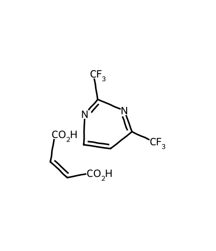 FC(F)(F)c1ccnc(C(F)(F)F)n1.O=C(O)/C=C\C(=O)O